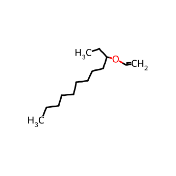 C=COC(CC)CCCCCCCCC